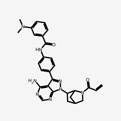 C=CC(=O)N1CC2CC1C(n1nc(-c3ccc(NC(=O)c4cccc(N(C)C)c4)cc3)c3c(N)ncnc31)C2